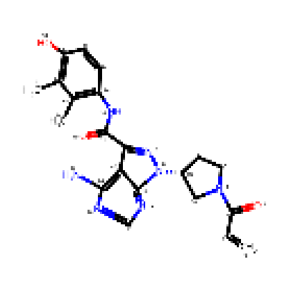 C=CC(=O)N1CC[C@@H](n2nc(C(=O)Nc3ccc(O)c(C)c3C)c3c(N)ncnc32)C1